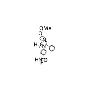 COCOC1CCN(CC(c2ccccc2)N(C)c2ccc(C(=O)NC(C)C)cc2)C1